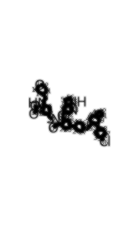 O=C(NSc1ccc(NCC2CCOCC2)c([N+](=O)[O-])c1)c1ccc(C2=CCN(CC3=C(c4ccc(Cl)cc4)CC4(CCC4)CC3)CC2)cc1Oc1cnc2[nH]ccc2c1